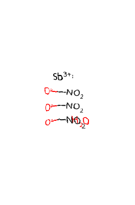 O.O=[N+]([O-])[O-].O=[N+]([O-])[O-].O=[N+]([O-])[O-].[Sb+3]